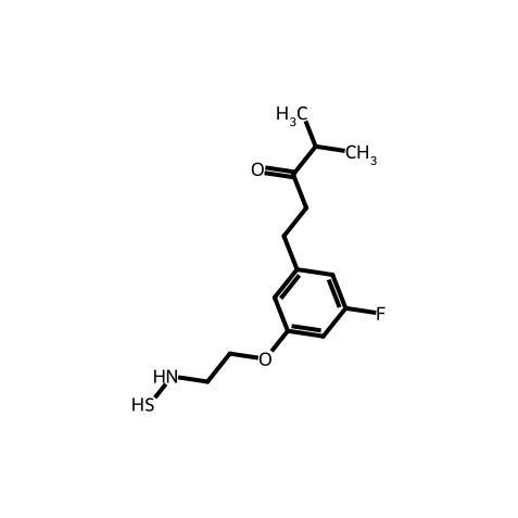 CC(C)C(=O)CCc1cc(F)cc(OCCNS)c1